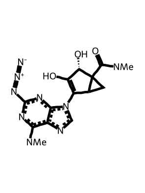 CNC(=O)C12CC1C(n1cnc3c(NC)nc(N=[N+]=[N-])nc31)=C(O)[C@@H]2O